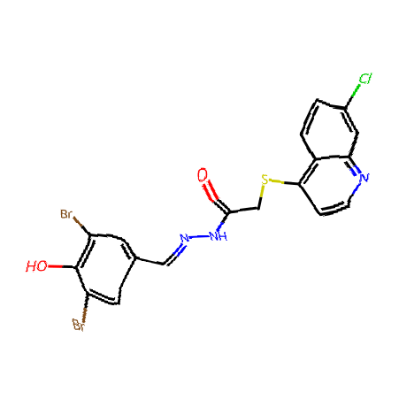 O=C(CSc1ccnc2cc(Cl)ccc12)N/N=C/c1cc(Br)c(O)c(Br)c1